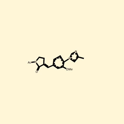 COc1cc(/C=C2\CCN(C(C)=O)C2=O)ccc1-n1cnc(C)c1